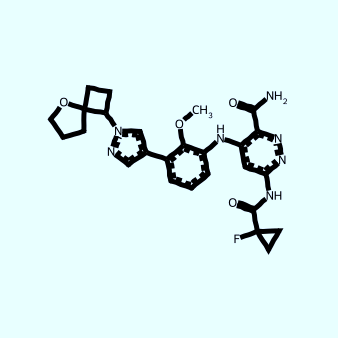 COc1c(Nc2cc(NC(=O)C3(F)CC3)nnc2C(N)=O)cccc1-c1cnn(C2CCC23CCCO3)c1